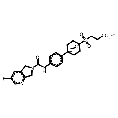 CCOC(=O)CCS(=O)(=O)C12CCC(c3ccc(NC(=O)N4Cc5cc(F)cnc5C4)cc3)(CC1)CC2